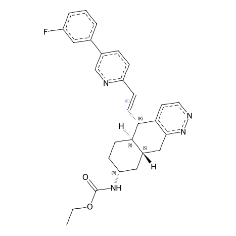 CCOC(=O)N[C@@H]1CC[C@@H]2[C@H](Cc3nnccc3[C@H]2/C=C/c2ccc(-c3cccc(F)c3)cn2)C1